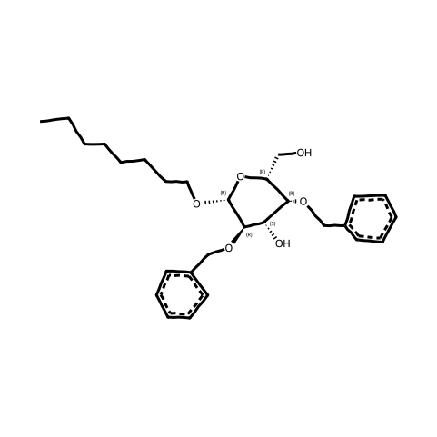 CCCCCCCCO[C@@H]1O[C@H](CO)[C@H](OCc2ccccc2)[C@H](O)[C@H]1OCc1ccccc1